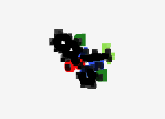 O=c1oc(-c2cc(C(F)F)nn2-c2ncccc2Cl)nc2c(Cl)c3ccccc3cc12